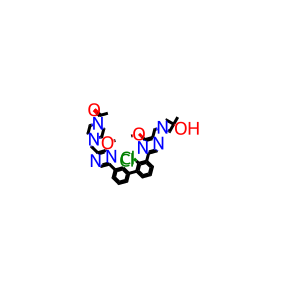 COc1nc(-c2cccc(-c3cccc(-c4cnc(CN5CC(C)(O)C5)c(OC)n4)c3Cl)c2Cl)cnc1CN1CCN(C(C)=O)CC1